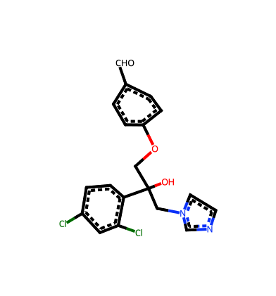 O=Cc1ccc(OCC(O)(Cn2ccnc2)c2ccc(Cl)cc2Cl)cc1